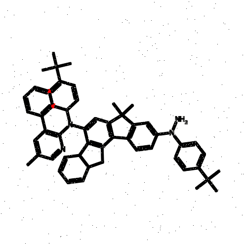 Cc1cnc(N(c2cc3c(c4c2C2C=CC=CC2C4)-c2ccc(N(N)c4ccc(C(C)(C)C)cc4)cc2C3(C)C)C2C=CC(C(C)(C)C)=CC2)c(-c2ccccc2)c1